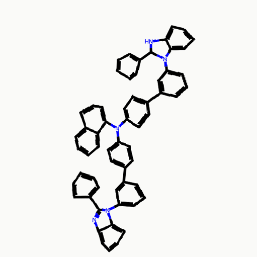 c1ccc(-c2nc3ccccc3n2-c2cccc(-c3ccc(N(c4ccc(-c5cccc(N6c7ccccc7NC6c6ccccc6)c5)cc4)c4cccc5ccccc45)cc3)c2)cc1